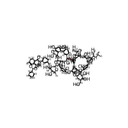 CNC(CC(C)C)C(=O)NC1C(=O)N[C@@H](CC(N)=O)C(=O)N[C@H]2C(=O)N[C@H]3C(=O)N[C@H](C(=O)N[C@@H](C(=O)O)c4cc(O)cc(O)c4-c4cc3ccc4O)C(OC3C[C@](C)(NCc4cccc(NC(=O)c5ccc(C)c(OCc6ccccc6)c5[N+](=O)[O-])c4)C(O)[C@H](C)O3)c3ccc(c(Cl)c3)Oc3cc2cc(c3OC2CC(CO)[C@@H](O)C(O)[C@H]2O)Oc2ccc(cc2Cl)[C@H]1O